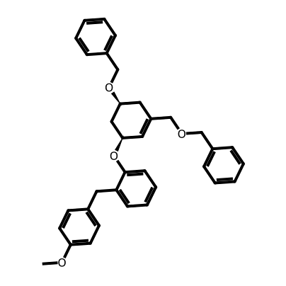 COc1ccc(Cc2ccccc2O[C@@H]2C=C(COCc3ccccc3)C[C@H](OCc3ccccc3)C2)cc1